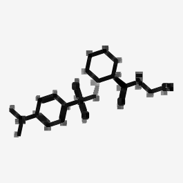 CN(C)c1ccc(S(=O)(=O)C[C@@H]2CCCC[C@H]2C(=O)NCC#N)cc1